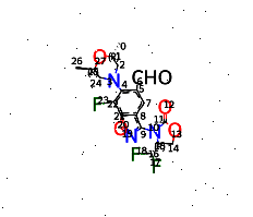 C[C@@H]1CN(c2c(C=O)cc3c(N4C(=O)OC[C@@H]4C(F)F)noc3c2F)C[C@@H](C)O1